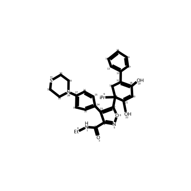 CCNC(=O)c1noc(C2(C(C)C)CC(c3ccccc3)=C(O)C=C2O)c1-c1ccc(N2CCSCC2)cc1